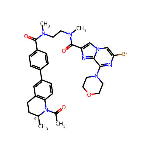 CC(=O)N1c2ccc(-c3ccc(C(=O)N(C)CCN(C)C(=O)c4cn5cc(Br)nc(N6CCOCC6)c5n4)cc3)cc2CC[C@@H]1C